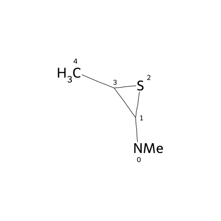 CNC1SC1C